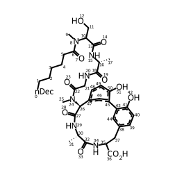 CCCCCCCCCCCCCCCC(=O)N(C)C(CO)C(=O)N[C@H](C)C(=O)NCC(=O)N(C)[C@@H]1C(=O)N[C@@H](C)C(=O)NC(C(=O)O)Cc2ccc(O)c(c2)-c2cc1ccc2O